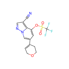 N#Cc1cnn2cc(C3=CCOCC3)cc(OS(=O)(=O)C(F)(F)F)c12